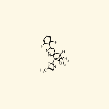 Cc1cnc([C@@]23CC[C@@H](c4cc(-c5c(F)cccc5F)nnc42)C3(C)C)o1